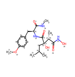 CNC(=O)[C@H](Cc1ccc(OC)cc1)NC(=O)[C@](O)(CC(C)C)[C@H](C)C(=O)NO